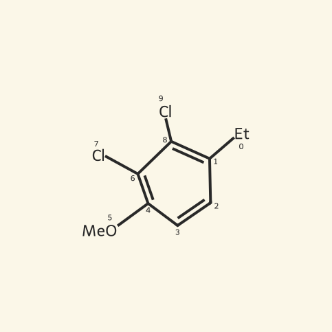 CCc1ccc(OC)c(Cl)c1Cl